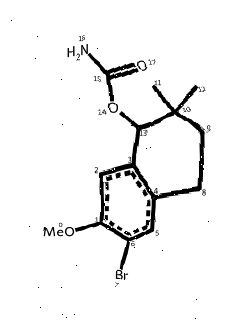 COc1cc2c(cc1Br)CCC(C)(C)C2OC(N)=O